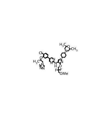 COCC(F)(F)COc1nn(C2CCC(N3C[C@@H](C)O[C@@H](C)C3)CC2)cc1Nc1ncc(-c2ccc(Cl)c(O[C@@H](C)Cn3cnnn3)c2)cn1